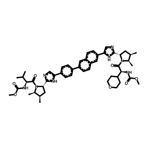 COC(=O)N[C@H](C(=O)N1[C@H](C)[C@H](C)C[C@H]1c1ncc(-c2ccc(-c3ccc4cc(-c5cnc([C@@H]6C[C@@H](C)[C@@H](C)N6C(=O)[C@@H](NC(=O)OC)C6CCOCC6)[nH]5)ccc4c3)cc2)[nH]1)C(C)C